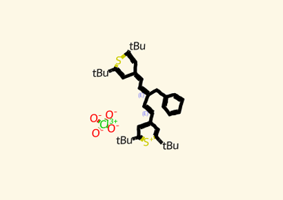 CC(C)(C)C1=CC(=C/C=C(/C=C/c2cc(C(C)(C)C)[s+]c(C(C)(C)C)c2)Cc2ccccc2)C=C(C(C)(C)C)S1.[O-][Cl+3]([O-])([O-])[O-]